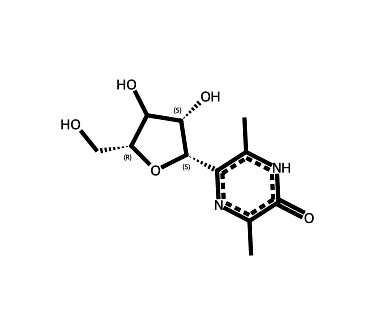 Cc1[nH]c(=O)c(C)nc1[C@@H]1O[C@H](CO)C(O)[C@@H]1O